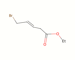 CCOC(=O)C/C=C/CBr